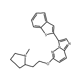 CN1CCCC1CCOc1ccc2ncc(-c3cc4ccccc4s3)n2n1